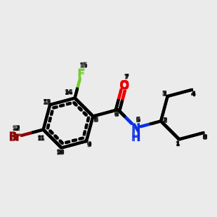 CCC(CC)NC(=O)c1ccc(Br)cc1F